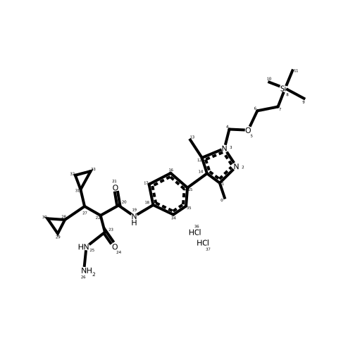 Cc1nn(COCC[Si](C)(C)C)c(C)c1-c1ccc(NC(=O)C(C(=O)NN)C(C2CC2)C2CC2)cc1.Cl.Cl